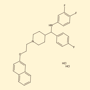 Cl.Cl.Fc1ccc(C(Nc2ccc(F)c(F)c2)C2CCN(CCOc3ccc4ccccc4c3)CC2)cc1